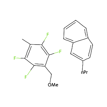 CCCc1ccc2ccccc2c1.COCc1c(F)c(F)c(C)c(F)c1F